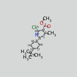 COC(=O)c1c(C)cc(-c2ccc(C(C)(C)C)cc2)nc1Cl